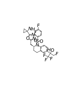 NC1(c2nnc(C[C@@H]3CCc4cc(C(O)(CF)C(F)(F)F)ccc4N3S(=O)(=O)c3ccc(F)cc3)o2)CC1